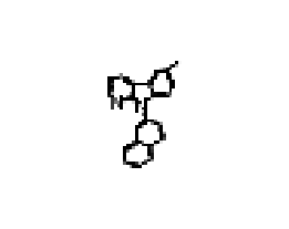 Cc1ccc2c(c1)c1cccnc1n2-c1ccc2ccccc2c1